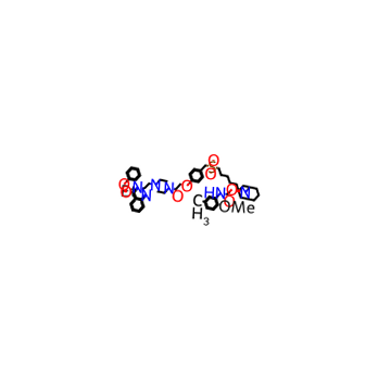 CCOc1ccccc1-n1c(CN2CCN(C(=O)COc3ccc(CS(=O)(=O)CCCCCCN4C5CCCC4CC(OC(=O)Nc4cc(C)ccc4OC)C5)cc3)CC2)nc2ccccc2c1=O